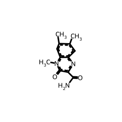 Cc1cc2nc(C(N)=O)c(=O)n(C)c2cc1C